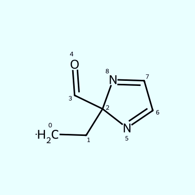 [CH2]CC1(C=O)N=CC=N1